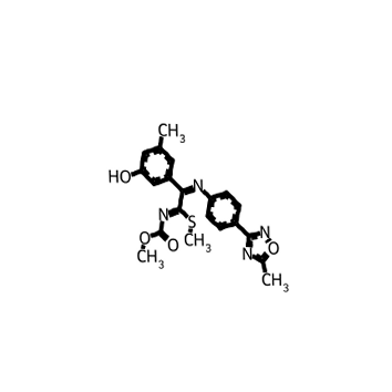 COC(=O)/N=C(SC)/C(=N\c1ccc(-c2noc(C)n2)cc1)c1cc(C)cc(O)c1